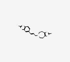 Nc1nc2c(s1)CCN(C/C=C/c1ccc3nc(N)sc3c1)CC2